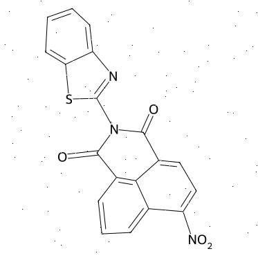 O=C1c2cccc3c([N+](=O)[O-])ccc(c23)C(=O)N1c1nc2ccccc2s1